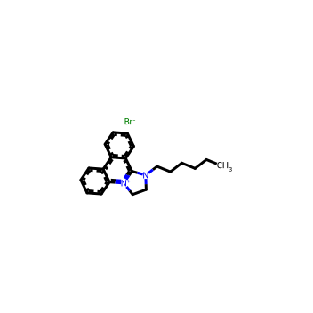 CCCCCCN1CC[n+]2c1c1ccccc1c1ccccc12.[Br-]